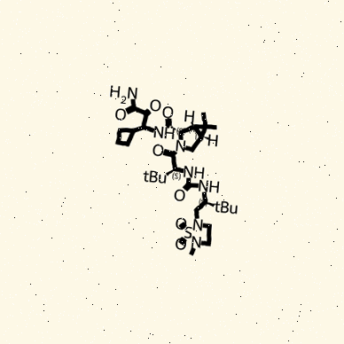 CN1CCN(C[C@@H](NC(=O)N[C@H](C(=O)N2C[C@H]3[C@@H]([C@H]2C(=O)NC(C(=O)C(N)=O)C2CCC2)C3(C)C)C(C)(C)C)C(C)(C)C)S1(=O)=O